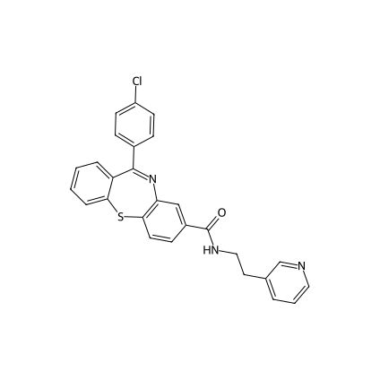 O=C(NCCc1cccnc1)c1ccc2c(c1)N=C(c1ccc(Cl)cc1)c1ccccc1S2